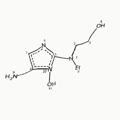 CCN(CCO)c1ncc(N)n1O